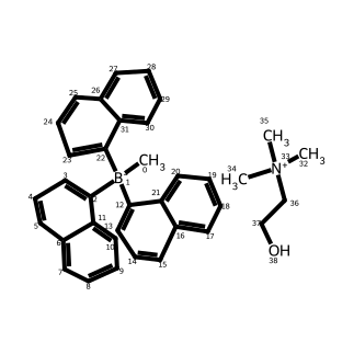 C[B-](c1cccc2ccccc12)(c1cccc2ccccc12)c1cccc2ccccc12.C[N+](C)(C)CCO